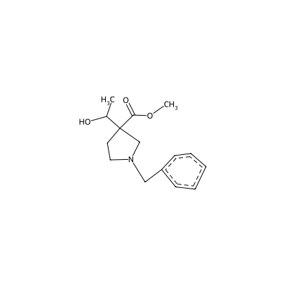 COC(=O)C1(C(C)O)CCN(Cc2ccccc2)C1